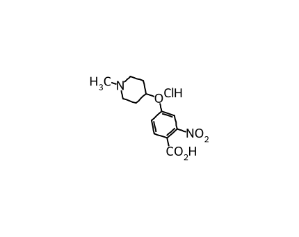 CN1CCC(Oc2ccc(C(=O)O)c([N+](=O)[O-])c2)CC1.Cl